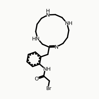 O=C(CBr)Nc1ccccc1CC1=NCCCNCCNCCCNC1